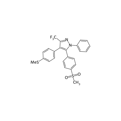 CSc1ccc(-c2c(C(F)(F)F)nn(-c3ccccc3)c2-c2ccc(S(C)(=O)=O)cc2)cc1